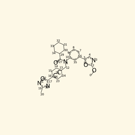 COc1ncc(-c2cccc(N(CC34CCC(c5nc(C)no5)(CC3)CC4)C(=O)C3CCCCC3)c2)o1